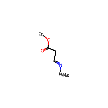 CCOC(=O)CC=NNC